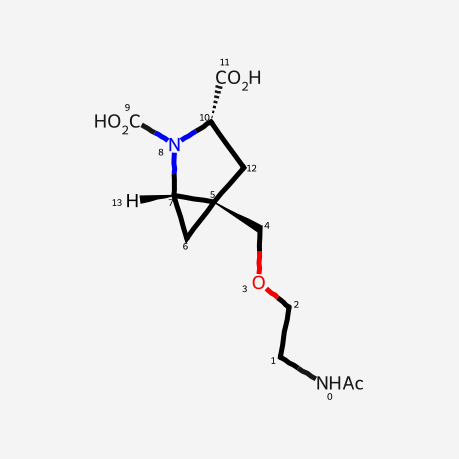 CC(=O)NCCOC[C@@]12C[C@@H]1N(C(=O)O)[C@H](C(=O)O)C2